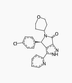 O=C1c2n[nH]c(-c3ccccn3)c2[C@@H](c2ccc(Cl)cc2)N1C1CCOCC1